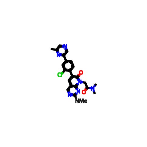 CNc1ncc2cc(-c3ccc(-c4cncc(C)n4)cc3Cl)c(=O)n(CC(=O)N(C)C)c2n1